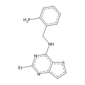 CCc1nc(NCc2ccccc2P)c2sccc2n1